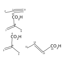 C#CC.C=C(C)C(=O)O.C=C(C)C(=O)O.CC=CC(=O)O